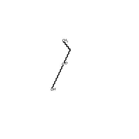 CCCCCCCC/C=C\CCCCCCCC(=O)OCCCCCCCCCCCCCCCCO